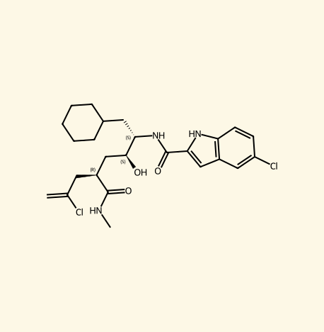 C=C(Cl)C[C@@H](C[C@H](O)[C@H](CC1CCCCC1)NC(=O)c1cc2cc(Cl)ccc2[nH]1)C(=O)NC